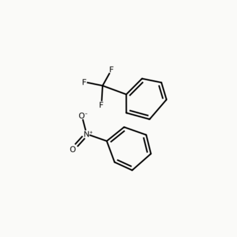 FC(F)(F)c1ccccc1.O=[N+]([O-])c1ccccc1